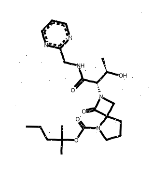 CCCC(C)(C)OC(=O)N1CCCC12CN([C@H](C(=O)NCc1ncccn1)[C@@H](C)O)C2=O